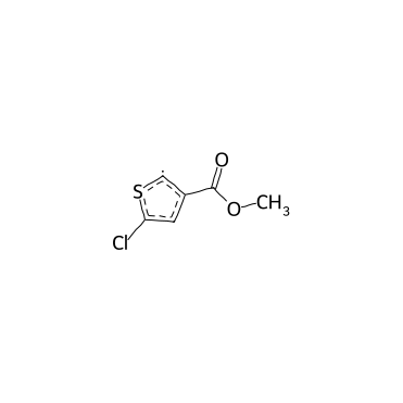 COC(=O)c1[c]sc(Cl)c1